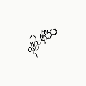 C=CCS(=O)(=O)N1CCCCC1Oc1nc2cc3ccccc3[nH]c-2n1